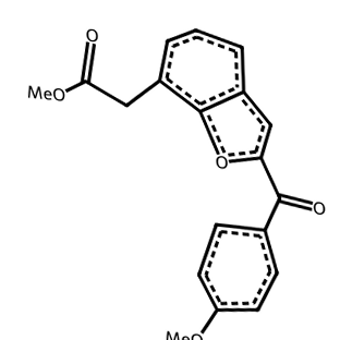 COC(=O)Cc1cccc2cc(C(=O)c3ccc(OC)cc3)oc12